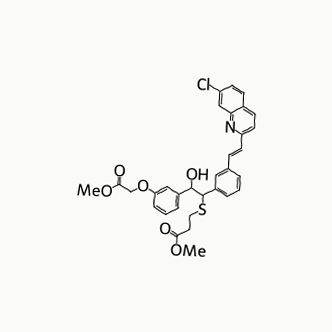 COC(=O)CCSC(c1cccc(C=Cc2ccc3ccc(Cl)cc3n2)c1)C(O)c1cccc(OCC(=O)OC)c1